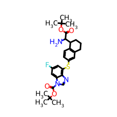 CC(C)(C)OC(=O)C(N)C1CCCc2cc(Sc3cc(F)cc4c3ncn4C(=O)OC(C)(C)C)ccc21